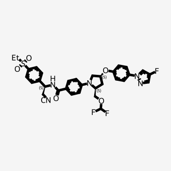 CCS(=O)(=O)c1ccc([C@H](CC#N)NC(=O)c2ccc(N3C[C@@H](Oc4ccc(-n5cc(F)cn5)cc4)C[C@H]3COC(F)F)cc2)cc1